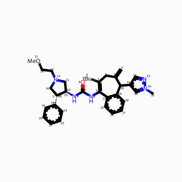 C=C1CC(C(C)(C)C)=C(NC(=O)N[C@@H]2CN(CCOC)C[C@H]2c2ccccc2)c2ccccc2C1c1cnn(C)c1